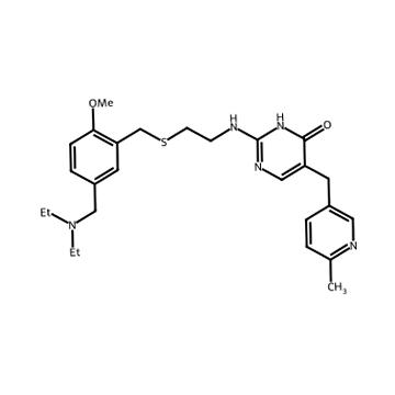 CCN(CC)Cc1ccc(OC)c(CSCCNc2ncc(Cc3ccc(C)nc3)c(=O)[nH]2)c1